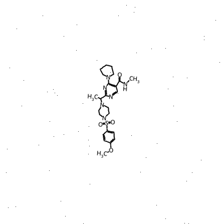 CNC(=O)c1cnc(C(C)N2CCN(S(=O)(=O)c3ccc(OC)cc3)CC2)nc1N1CCCCC1